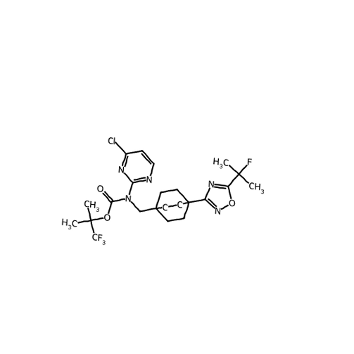 CC(C)(F)c1nc(C23CCC(CN(C(=O)OC(C)(C)C(F)(F)F)c4nccc(Cl)n4)(CC2)CC3)no1